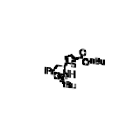 CCCCOC(=O)c1ccc([C@H](CC(C)C)N[S@@+]([O-])C(C)(C)C)s1